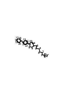 BrCCCCCCC1CCC(c2ccc(-c3ccccc3)cc2)CC1